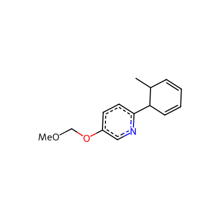 COCOc1ccc(C2C=CC=CC2C)nc1